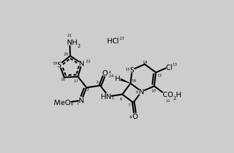 CON=C(C(=O)NC1C(=O)N2C(C(=O)O)=C(Cl)CS[C@@H]12)c1csc(N)n1.Cl